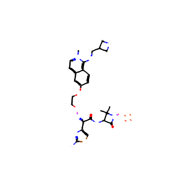 C[n+]1ccc2cc(OC[C@H](O/N=C(\C(=O)NC3C(=O)N(OS(=O)(=O)[O-])C3(C)C)c3csc(N)n3)C(=O)O)ccc2c1NCC1CNC1